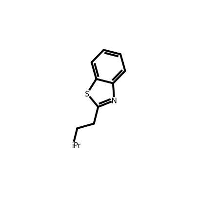 CC(C)CCc1nc2ccccc2s1